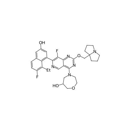 CCc1c(F)ccc2cc(O)cc(-c3ncc4c(N5CCOCC(O)C5)nc(OCC56CCCN5CCC6)nc4c3F)c12